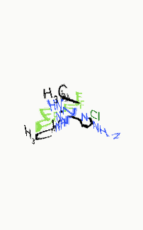 C[C@@H](Nc1nc(N[C@H](C)C(F)(F)F)nc(-c2ccc(N)c(Cl)n2)n1)C(F)(F)F